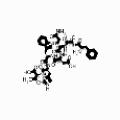 CC(C)[C@H](NC(=O)[C@H](Cc1c[nH]cn1)NC(=O)[C@H](Cc1c[nH]c2ccccc12)NC(=O)[C@H](CC(=O)O)NC(=O)[C@H](CCC(N)=O)NC(=O)[C@H](C)NC(=O)[C@@H](N)Cc1ccccc1)C(=O)O